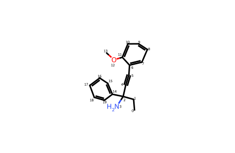 CCC(N)(C#Cc1ccccc1OC)c1ccccc1